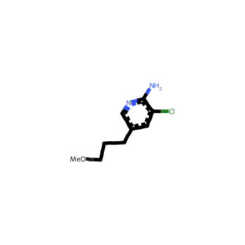 COCCCc1cnc(N)c(Cl)c1